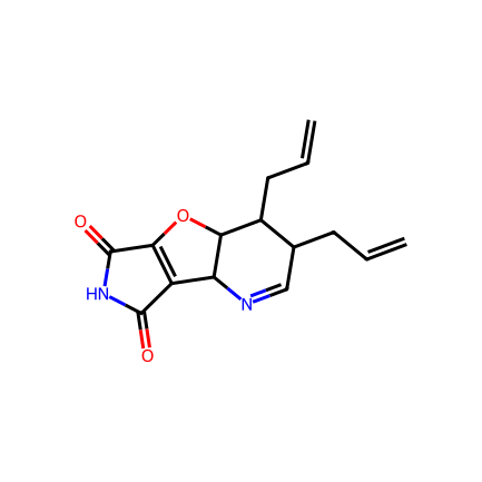 C=CCC1C=NC2C3=C(OC2C1CC=C)C(=O)NC3=O